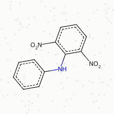 O=[N+]([O-])c1cccc([N+](=O)[O-])c1Nc1ccccc1